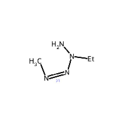 CCN(N)/N=N\C